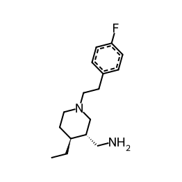 CC[C@H]1CCN(CCc2ccc(F)cc2)C[C@@H]1CN